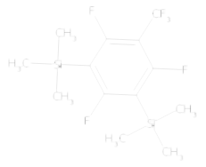 C[Si](C)(C)c1c(F)c(C(F)(F)F)c(F)c([Si](C)(C)C)c1F